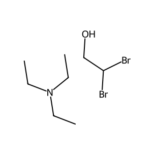 CCN(CC)CC.OCC(Br)Br